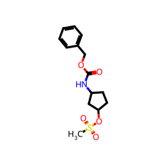 CS(=O)(=O)OC1CCC(NC(=O)OCc2ccccc2)C1